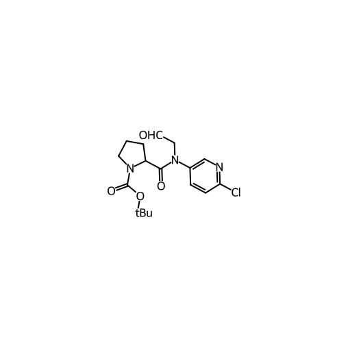 CC(C)(C)OC(=O)N1CCCC1C(=O)N(CC=O)c1ccc(Cl)nc1